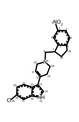 O=[N+]([O-])c1ccc2c(c1)C(CN1CC=C(c3c[nH]c4cc(Cl)ccc34)CC1)CC2